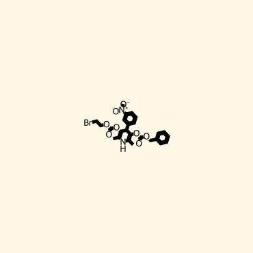 CC1=C(OC(=O)OCCBr)C(c2cccc([N+](=O)[O-])c2)C(OC(=O)OCc2ccccc2)=C(C)N1